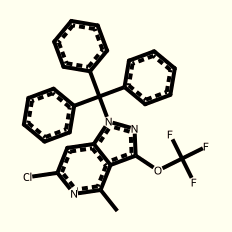 Cc1nc(Cl)cc2c1c(OC(F)(F)F)nn2C(c1ccccc1)(c1ccccc1)c1ccccc1